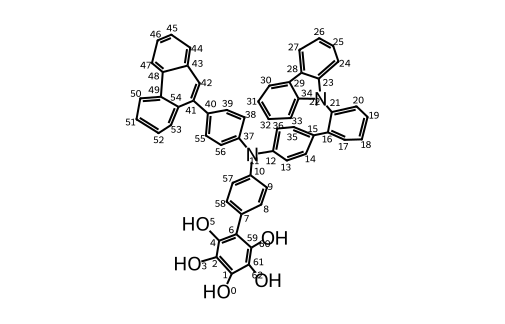 Oc1c(O)c(O)c(-c2ccc(N(c3ccc(-c4ccccc4-n4c5ccccc5c5ccccc54)cc3)c3ccc(-c4cc5ccccc5c5ccccc45)cc3)cc2)c(O)c1O